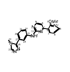 COc1ncccc1-c1ccnc(Nc2cccc(-c3nncn3C)c2)n1